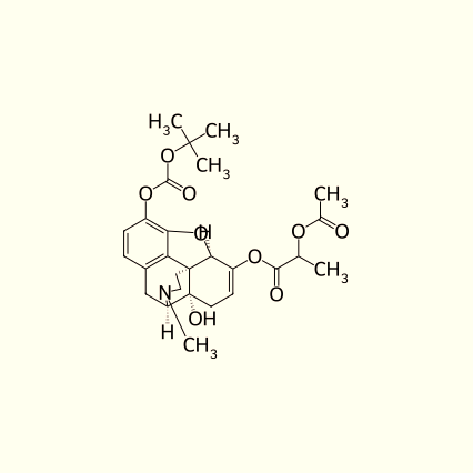 CC(=O)OC(C)C(=O)OC1=CC[C@@]2(O)[C@H]3Cc4ccc(OC(=O)OC(C)(C)C)c5c4[C@@]2(CCN3C)[C@H]1O5